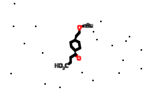 CCCCOCC[C@H]1CC[C@H](C(=O)CCC(=O)O)CC1